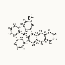 [Br-].c1ccc([P+](c2ccccc2)(c2ccccc2)c2ccc3cc4ccccc4cc3c2)cc1